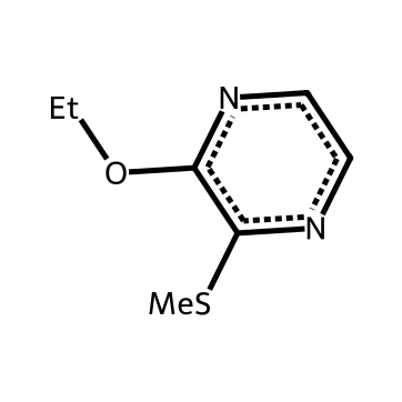 CCOc1nccnc1SC